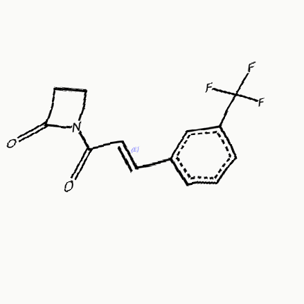 O=C(/C=C/c1cccc(C(F)(F)F)c1)N1CCC1=O